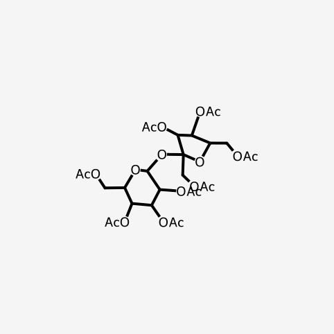 CC(=O)OCC1OC(OC2(COC(C)=O)OC(COC(C)=O)C(OC(C)=O)C2OC(C)=O)C(OC(C)=O)C(OC(C)=O)C1OC(C)=O